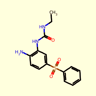 CCNC(=O)Nc1cc(S(=O)(=O)c2ccccc2)ccc1N